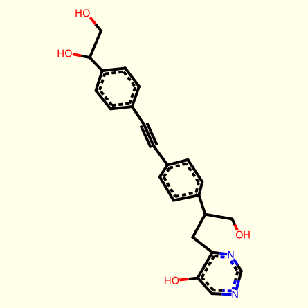 OCC(O)c1ccc(C#Cc2ccc(C(CO)Cc3ncncc3O)cc2)cc1